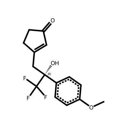 COc1ccc([C@](O)(CC2=CC(=O)CC2)C(F)(F)F)cc1